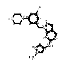 Cn1cc(Nc2ncc3cnn(Cc4cc(F)cc(N5CCOCC5)c4)c3n2)cn1